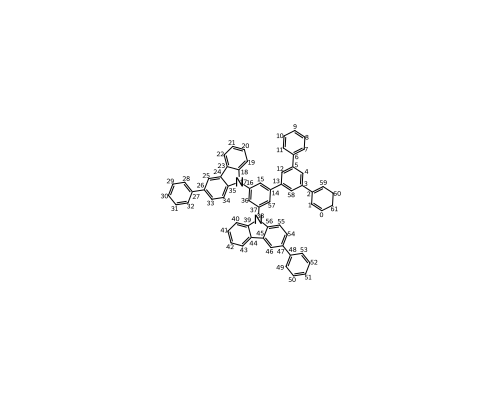 C1=CC(c2cc(-c3ccccc3)cc(-c3cc(-n4c5ccccc5c5cc(-c6ccccc6)ccc54)cc(-n4c5ccccc5c5cc(-c6ccccc6)ccc54)c3)c2)=CCC1